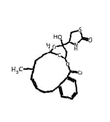 CC1/C=C\CCc2ccccc2C(=O)OC2C[C@@H](CC1)OC(O)(C1CSC(=O)N1)C2